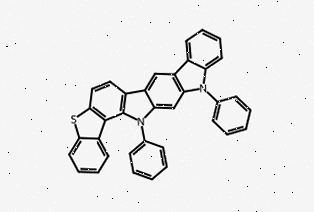 c1ccc(-n2c3ccccc3c3cc4c5ccc6sc7ccccc7c6c5n(-c5ccccc5)c4cc32)cc1